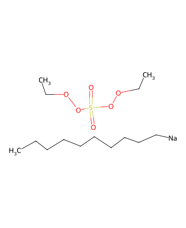 CCCCCCCCC[CH2][Na].CCOOS(=O)(=O)OOCC